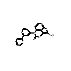 O=C(O)c1sc2nccc3c2c1NC(=O)N3c1ccnc(-c2ccccn2)c1